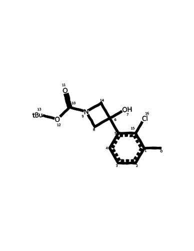 Cc1cccc(C2(O)CN(C(=O)OC(C)(C)C)C2)c1Cl